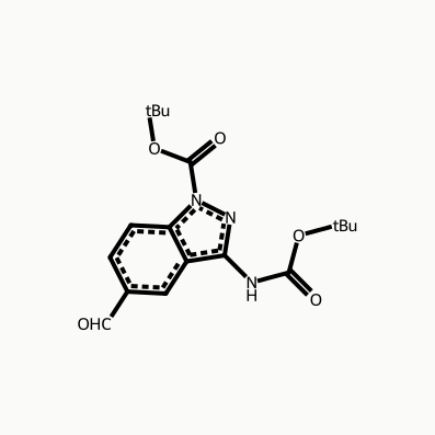 CC(C)(C)OC(=O)Nc1nn(C(=O)OC(C)(C)C)c2ccc(C=O)cc12